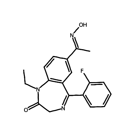 CCN1C(=O)CN=C(c2ccccc2F)c2cc(C(C)=NO)ccc21